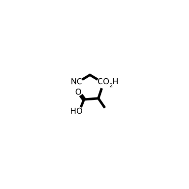 CC(C)C(=O)O.N#CCC(=O)O